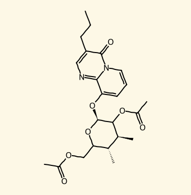 CCCc1cnc2c(O[C@@H]3OC(COC(C)=O)[C@@H](C)[C@H](C)C3OC(C)=O)cccn2c1=O